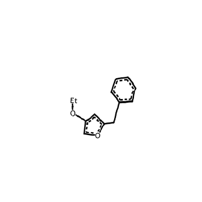 CCOc1coc(Cc2ccccc2)c1